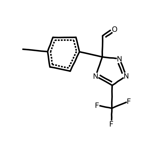 Cc1ccc(C2(C=O)N=NC(C(F)(F)F)=N2)cc1